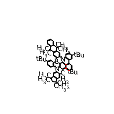 Cc1cc2c(cc1N1c3ccc(C(C)(C)C)cc3B3c4cc5c(cc4N(c4ccc(C(C)(C)C)cc4-c4ccccc4)c4cc(C(C)(C)C)cc1c43)C(C)(C)c1ccccc1C5(C)C)C(C)(C)CC2(C)C